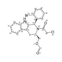 O=COC[C@H]1Cc2c([nH]c3ccccc23)[C@@H](c2ccccc2Br)N1C(=O)CCl